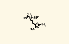 Br.Br.Cc1nc(N)sc1CCCNC(=N)N